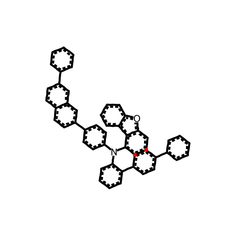 c1ccc(-c2ccc(-c3ccccc3N(c3ccc(-c4ccc5ccc(-c6ccccc6)cc5c4)cc3)c3cccc4oc5ccccc5c34)cc2)cc1